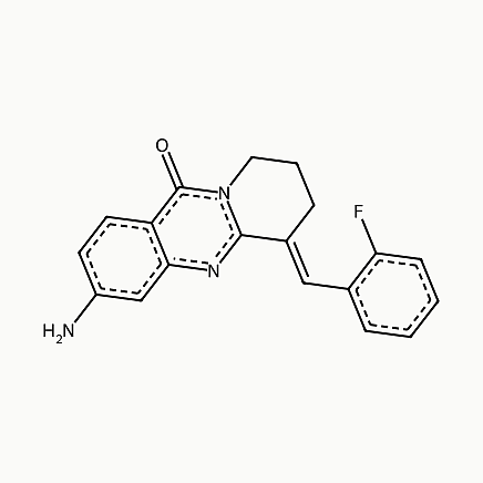 Nc1ccc2c(=O)n3c(nc2c1)C(=Cc1ccccc1F)CCC3